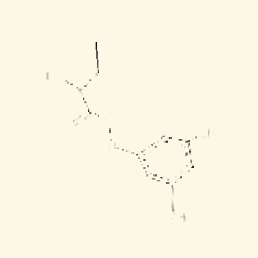 CCC(C)C(=O)ONc1cc(C)cc(C)c1